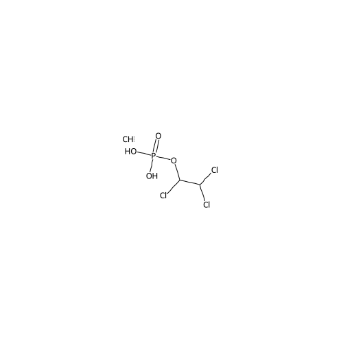 O=P(O)(O)OC(Cl)C(Cl)Cl.[CH]